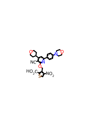 N#Cc1c(C2CCOCC2)cc(-c2ccc(N3CCOCC3)cc2)nc1OCc1c([N+](=O)[O-])csc1C(=O)O